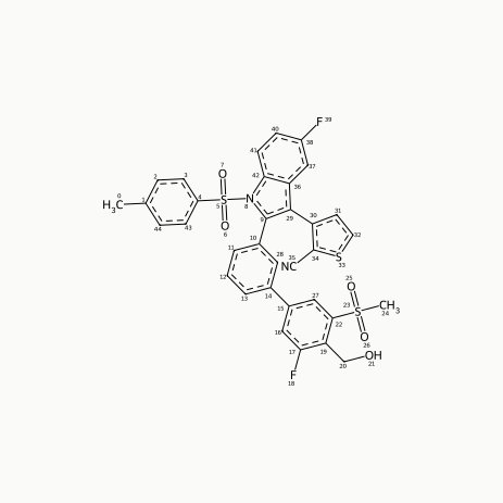 Cc1ccc(S(=O)(=O)n2c(-c3cccc(-c4cc(F)c(CO)c(S(C)(=O)=O)c4)c3)c(-c3ccsc3C#N)c3cc(F)ccc32)cc1